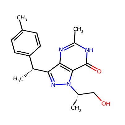 Cc1ccc([C@@H](C)c2nn([C@@H](C)CO)c3c(=O)[nH]c(C)nc23)cc1